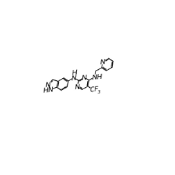 FC(F)(F)c1cnc(Nc2ccc3[nH]ncc3c2)nc1NCc1ccccn1